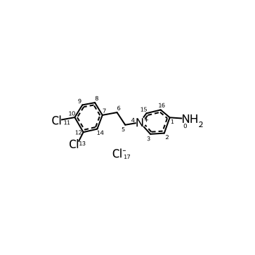 Nc1cc[n+](CCc2ccc(Cl)c(Cl)c2)cc1.[Cl-]